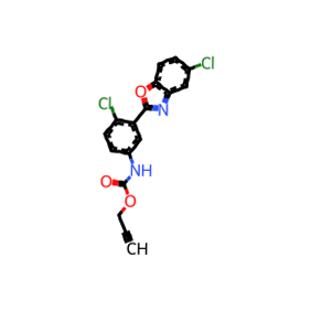 C#CCOC(=O)Nc1ccc(Cl)c(-c2nc3cc(Cl)ccc3o2)c1